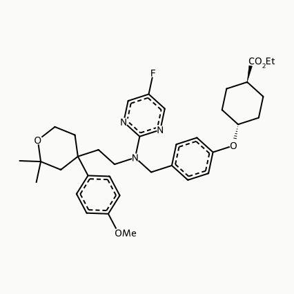 CCOC(=O)[C@H]1CC[C@H](Oc2ccc(CN(CCC3(c4ccc(OC)cc4)CCOC(C)(C)C3)c3ncc(F)cn3)cc2)CC1